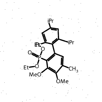 CCOP(=O)(OCC)c1c(-c2c(C(C)C)cc(C(C)C)cc2C(C)C)cc(C)c(OC)c1OC